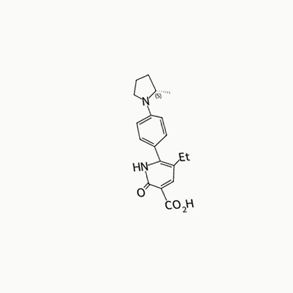 CCc1cc(C(=O)O)c(=O)[nH]c1-c1ccc(N2CCC[C@@H]2C)cc1